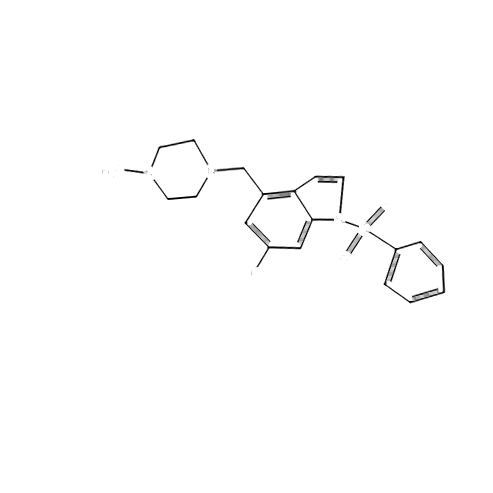 CN1CCN(Cc2cc(F)cc3c2ccn3S(=O)(=O)c2ccccc2)CC1